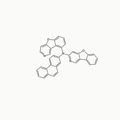 c1ccc2c(c1)ccc1cc(N(c3cc4oc5ccccc5c4cn3)c3cccc4oc5ccncc5c34)ccc12